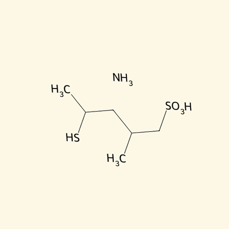 CC(S)CC(C)CS(=O)(=O)O.N